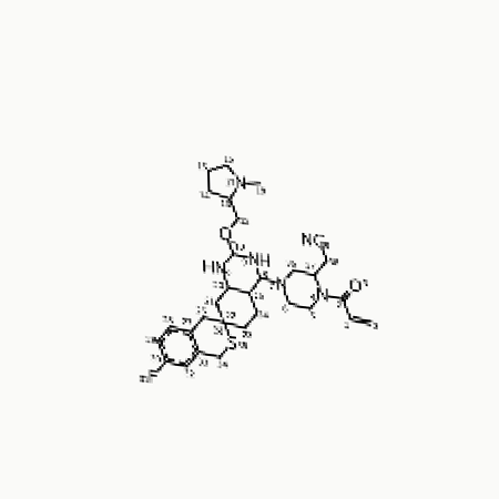 C=CC(=O)N1CCN(C2NC(OCC3CCCN3C)NC3C[C@]4(CCC32)Cc2ccc(F)cc2CS4)CC1CC#N